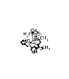 COc1c(C[C@H](C)NC(=O)OC(C)(C)C)sc2c(N(Cc3cccs3)C(=O)O)cnnc12